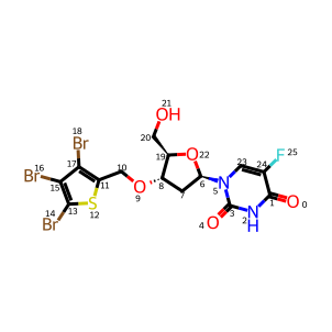 O=c1[nH]c(=O)n([C@H]2C[C@H](OCc3sc(Br)c(Br)c3Br)[C@@H](CO)O2)cc1F